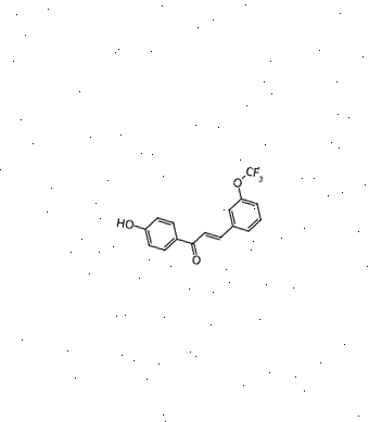 O=C(/C=C/c1cccc(OC(F)(F)F)c1)c1ccc(O)cc1